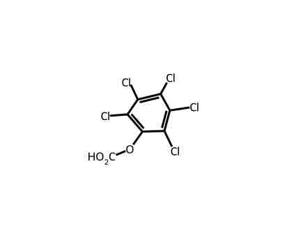 O=C(O)Oc1c(Cl)c(Cl)c(Cl)c(Cl)c1Cl